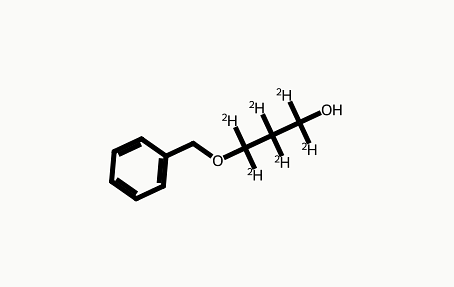 [2H]C([2H])(O)C([2H])([2H])C([2H])([2H])OCc1ccccc1